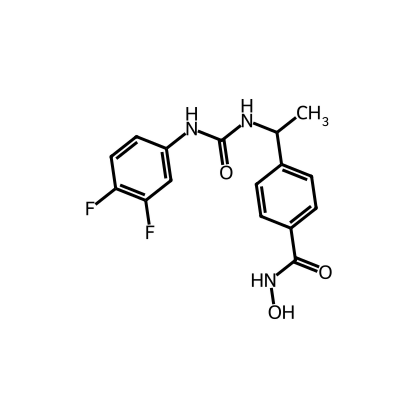 CC(NC(=O)Nc1ccc(F)c(F)c1)c1ccc(C(=O)NO)cc1